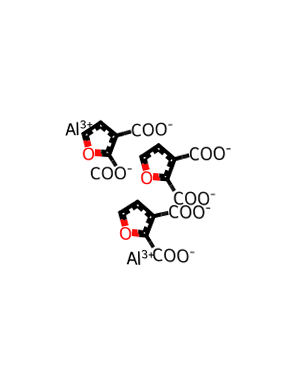 O=C([O-])c1ccoc1C(=O)[O-].O=C([O-])c1ccoc1C(=O)[O-].O=C([O-])c1ccoc1C(=O)[O-].[Al+3].[Al+3]